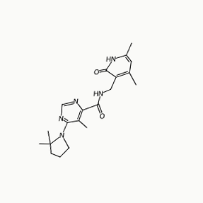 Cc1cc(C)c(CNC(=O)c2ncnc(N3CCCC3(C)C)c2C)c(=O)[nH]1